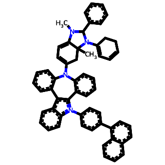 CN1C2=CC=C(N3c4ccccc4-c4c(n(-c5ccc(-c6cccc7ccccc67)cc5)c5ccccc45)-c4ccccc43)CC2(C)N(C2=CC=CCC2)C1c1ccccc1